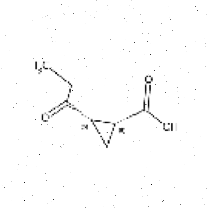 CCC(=O)[C@H]1C[C@H]1C(=O)O